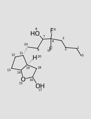 CCCCC(F)(F)C(O)CC[C@H]1CCC2OC(O)C[C@@H]21